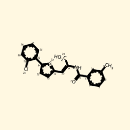 Cc1cccc(C(=O)NC(=Cc2ccc(-c3ccccc3Cl)s2)C(=O)O)c1